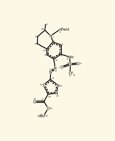 CCCCCN1c2cc(NS(=O)(=O)C(F)(F)F)c(N=Nc3nnc(C(=O)OCCCC)s3)cc2CCC1C